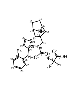 O=C(O)C(F)(F)F.O=C(O)N(CC1CC2CCC(C1)N2)c1sccc1Cc1ccccc1F